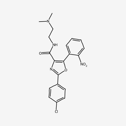 CN(C)CCNC(=O)c1nc(-c2ccc(Cl)cc2)oc1-c1ccccc1[N+](=O)[O-]